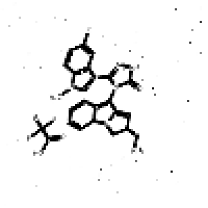 Cn1cc(-c2n[nH]c(=O)n2C2=C3C=CC=CC3N3CC(CN)C=C23)c2cc(F)ccc21.O=C(O)C(F)(F)F